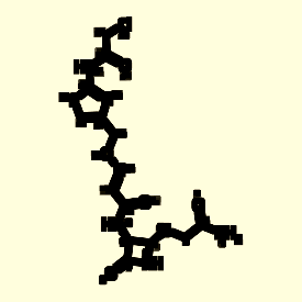 NC(=O)CS[C@H]1NC(=O)[C@H]1NC(=O)C=NOCc1csc(NC(=O)CCl)n1